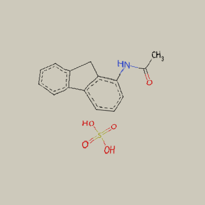 CC(=O)Nc1cccc2c1Cc1ccccc1-2.O=S(=O)(O)O